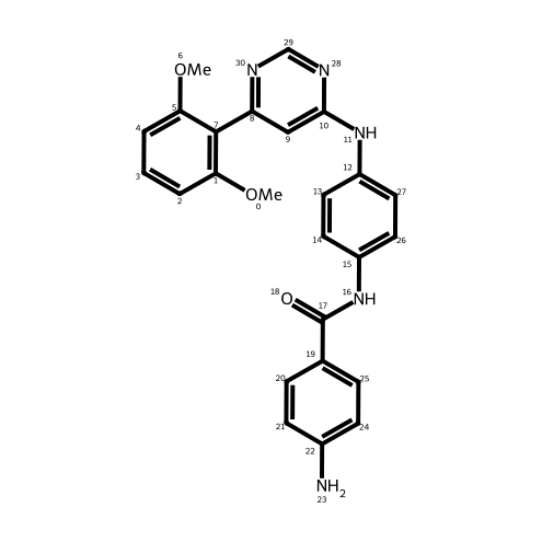 COc1cccc(OC)c1-c1cc(Nc2ccc(NC(=O)c3ccc(N)cc3)cc2)ncn1